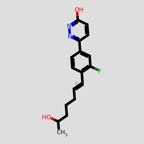 CC(O)CCC/C=C/c1ccc(-c2ccc(O)nn2)cc1F